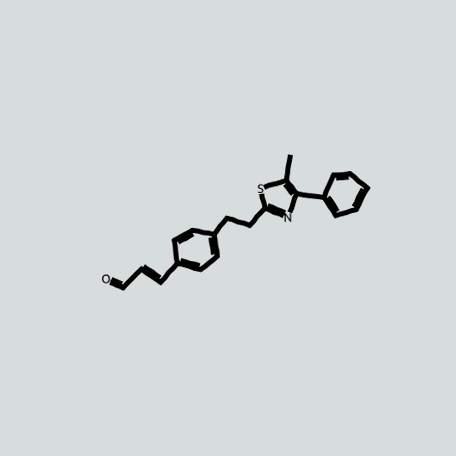 Cc1sc(CCc2ccc(C=CC=O)cc2)nc1-c1ccccc1